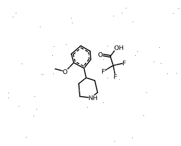 COc1ccccc1C1CCNCC1.O=C(O)C(F)(F)F